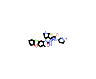 Cc1cc(Oc2ccccc2)c(F)cc1N1C(=O)Nc2c(C(=O)N[C@@H]3CCCNC3)sc3nccc1c23